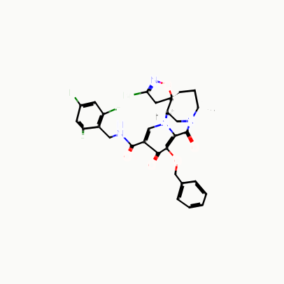 C[C@H]1CC[C@]2(CC(Br)=NO2)[C@H]2CN1C(=O)c1c(OCc3ccccc3)c(=O)c(C(=O)NCc3c(F)cc(F)cc3F)cn12